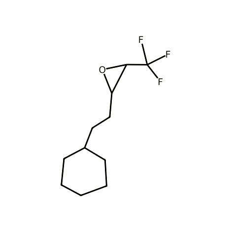 FC(F)(F)C1OC1CCC1CCCCC1